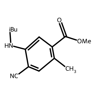 CCC(C)Nc1cc(C(=O)OC)c(C)cc1C#N